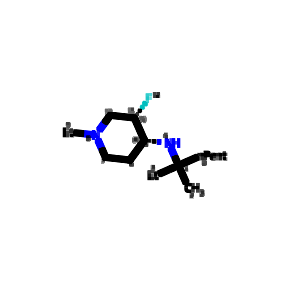 CCCCCC(C)(CC)N[C@@H]1CCN(CC)C[C@@H]1F